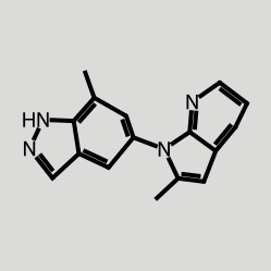 Cc1cc(-n2c(C)cc3cccnc32)cc2cn[nH]c12